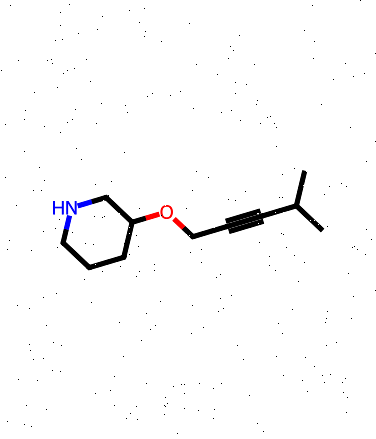 CC(C)C#CCOC1CCCNC1